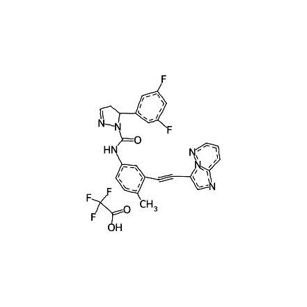 Cc1ccc(NC(=O)N2N=CCC2c2cc(F)cc(F)c2)cc1C#Cc1cnc2cccnn12.O=C(O)C(F)(F)F